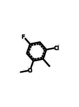 COc1cc(F)cc(Cl)c1C